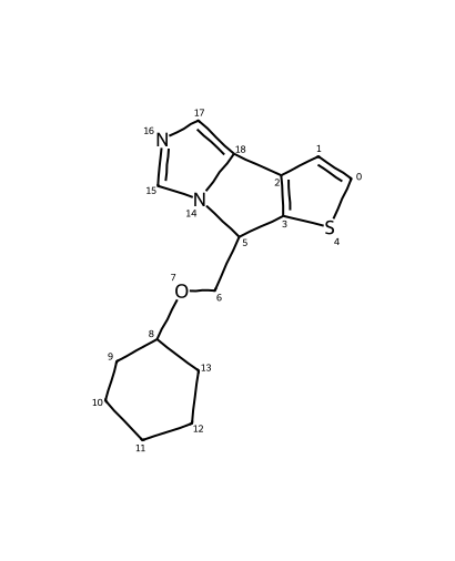 c1cc2c(s1)C(COC1CCCCC1)n1cncc1-2